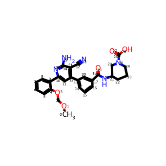 COCOc1ccccc1-c1cc(-c2cccc(C(=O)NC3CCCN(C(=O)O)C3)c2)c(C#N)c(N)n1